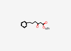 CCCOC(=O)CC(=O)CCCc1ccccc1